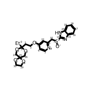 CCC1(CCOc2ccnc(C[S+]([O-])c3nc4ccccc4[nH]3)c2)OCC2(CO1)OCCO2